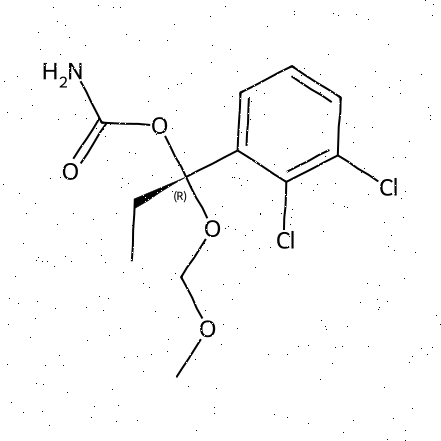 CC[C@@](OCOC)(OC(N)=O)c1cccc(Cl)c1Cl